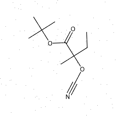 CCC(C)(OC#N)C(=O)OC(C)(C)C